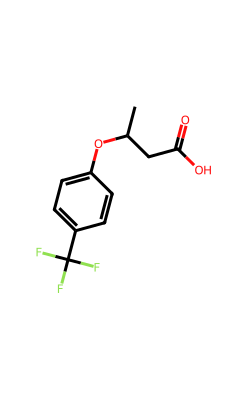 CC(CC(=O)O)Oc1ccc(C(F)(F)F)cc1